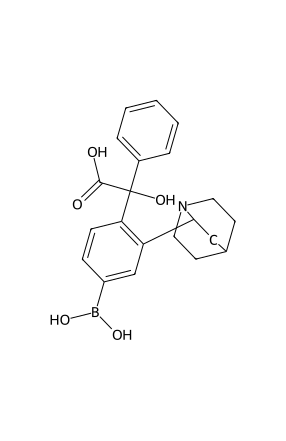 O=C(O)C(O)(c1ccccc1)c1ccc(B(O)O)cc1C1CC2CCN1CC2